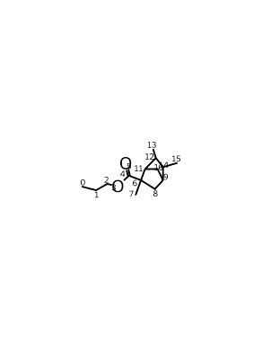 CCCOC(=O)C1(C)CC2CC1C(C)C2C